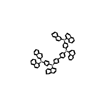 c1ccc2cc(N(c3ccc(N(c4ccc(-c5ccc(N(c6ccc(N(c7ccc8ccccc8c7)c7cccc8ccccc78)cc6)c6cccc7ccccc67)cc5)cc4)c4cccc5ccccc45)cc3)c3cccc4ccccc34)ccc2c1